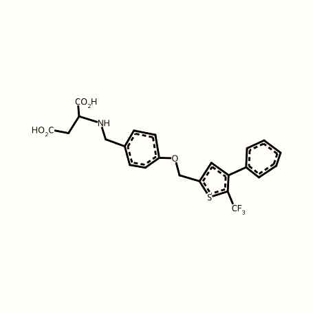 O=C(O)CC(NCc1ccc(OCc2cc(-c3ccccc3)c(C(F)(F)F)s2)cc1)C(=O)O